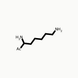 CC(=O)C(N)CCCCCN